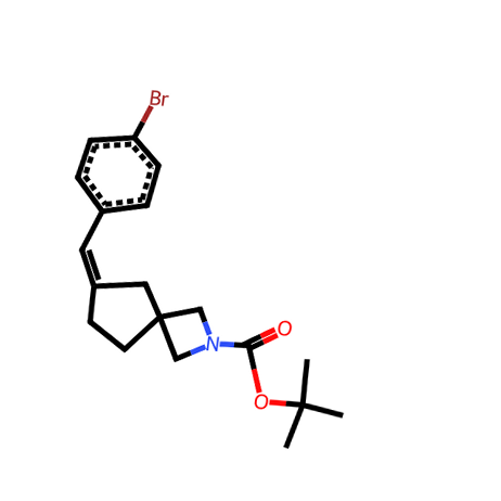 CC(C)(C)OC(=O)N1CC2(CCC(=Cc3ccc(Br)cc3)C2)C1